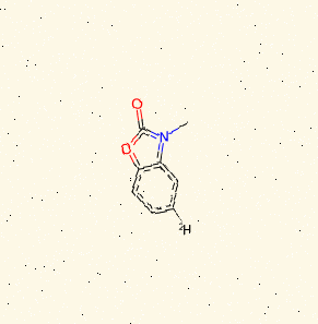 [2H]c1ccc2oc(=O)n(C)c2c1